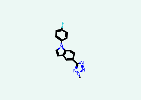 Cn1nnc(-c2ccc3c(ccn3-c3ccc(F)cc3)c2)n1